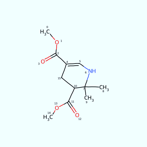 COC(=O)C1=CNC(C)(C)C(C(=O)OC)C1